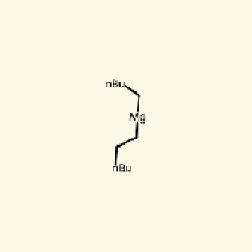 CCCCC[CH2][Mg][CH2]CCCC